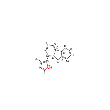 Cc1ccoc1-c1cccc2c1[CH]c1ccccc1-2